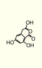 O=Ic1c(O)cc(O)cc1CC(=O)O